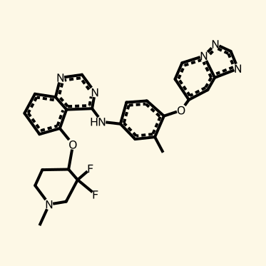 Cc1cc(Nc2ncnc3cccc(OC4CCN(C)CC4(F)F)c23)ccc1Oc1ccn2ncnc2c1